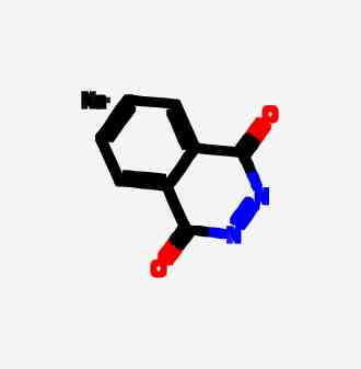 O=C1N=NC(=O)c2ccccc21.[Na]